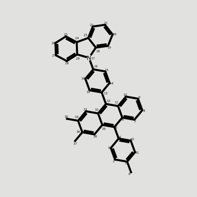 Cc1ccc(-c2c3ccccc3c(-c3ccc(-n4c5ccccc5c5ccccc54)cc3)c3cc(C)c(C)cc23)cc1